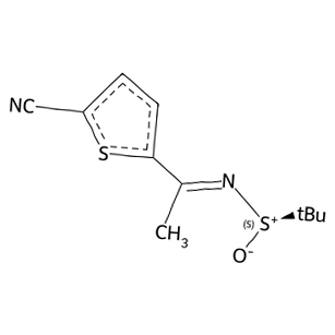 CC(=N[S@+]([O-])C(C)(C)C)c1ccc(C#N)s1